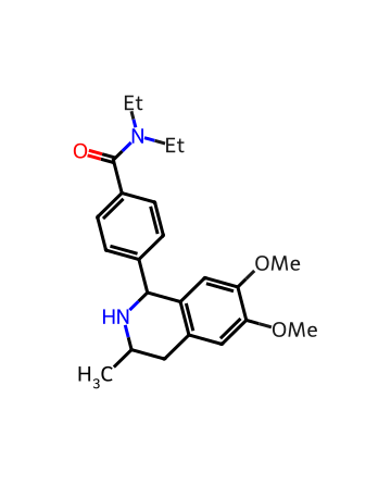 CCN(CC)C(=O)c1ccc(C2NC(C)Cc3cc(OC)c(OC)cc32)cc1